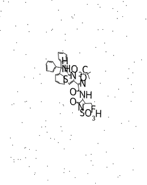 CC(C)(O/N=C(/C(=O)NC1C(=O)N(S(=O)(=O)O)C1CF)c1csc(NC(c2ccccc2)(c2ccccc2)c2ccccc2)n1)C(=O)O